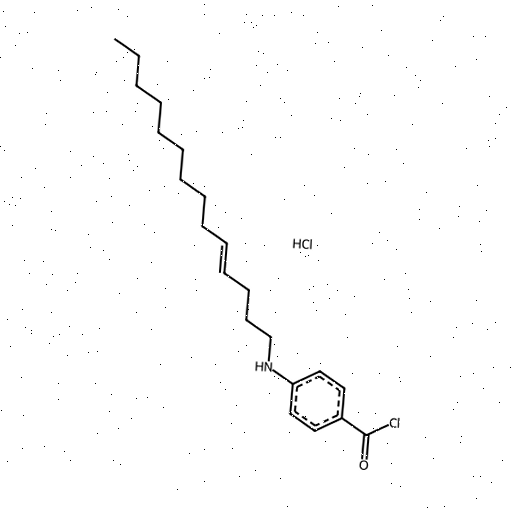 CCCCCCCCC/C=C/CCCNc1ccc(C(=O)Cl)cc1.Cl